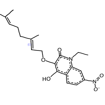 CCn1c(=O)c(OC/C=C(\C)CCC=C(C)C)c(O)c2ccc([N+](=O)[O-])cc21